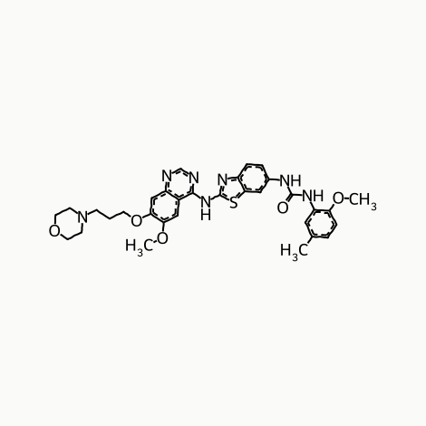 COc1ccc(C)cc1NC(=O)Nc1ccc2nc(Nc3ncnc4cc(OCCCN5CCOCC5)c(OC)cc34)sc2c1